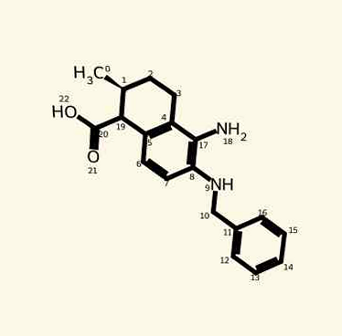 C[C@H]1CCc2c(ccc(NCc3ccccc3)c2N)C1C(=O)O